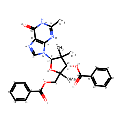 COC1(COC(=O)c2ccccc2)O[C@@H](n2cnc3c(=O)[nH]c(C)nc32)C(C)(C)[C@@H]1OC(=O)c1ccccc1